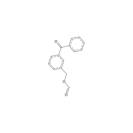 O=[C]OCc1cccc(C(=O)c2ccccc2)c1